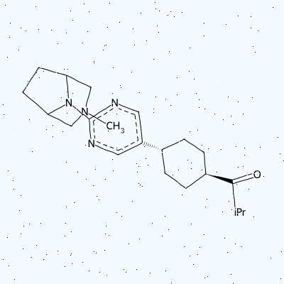 CC(C)C(=O)[C@H]1CC[C@H](c2cnc(N3C4CCC3CN(C)C4)nc2)CC1